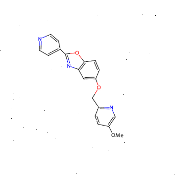 COc1ccc(COc2ccc3oc(-c4ccncc4)nc3c2)nc1